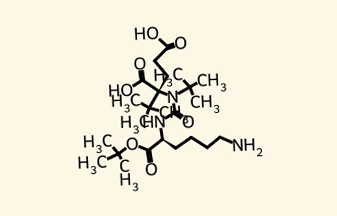 CC(C)(C)OC(=O)[C@H](CCCCN)NC(=O)N(C(C)(C)C)[C@@](CCC(=O)O)(C(=O)O)C(C)(C)C